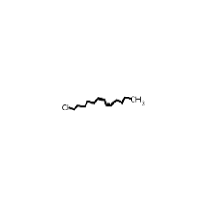 CCCC/C=C\C=C/CCCCCCl